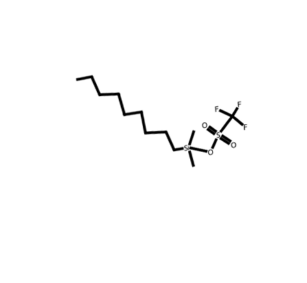 CCCCCCCCC[Si](C)(C)OS(=O)(=O)C(F)(F)F